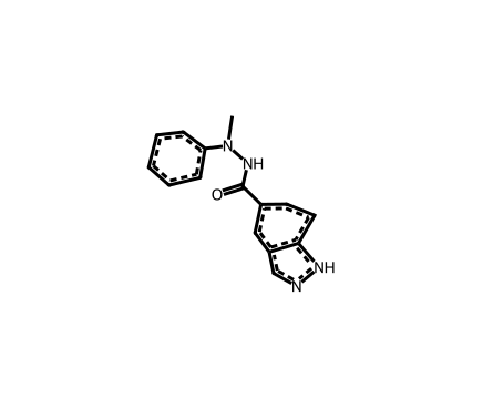 CN(NC(=O)c1ccc2[nH]ncc2c1)c1ccccc1